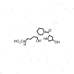 O=C(O)NCCCC(O)[C@@H]1CCCN(C(=O)[C@@H]2C[C@@H](O)CN2)C1